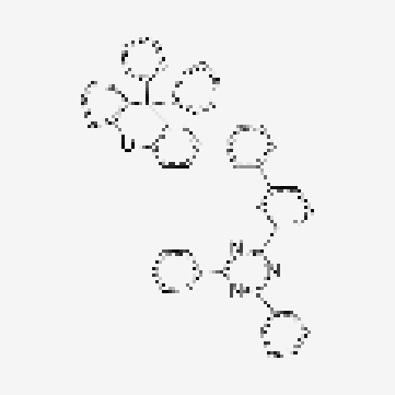 c1ccc(-c2nc(-c3ccccc3)nc(-c3cccc(-c4cccc(-c5ccc6c(c5)C(c5ccccc5)(c5ccccc5)c5ccccc5O6)c4)c3)n2)cc1